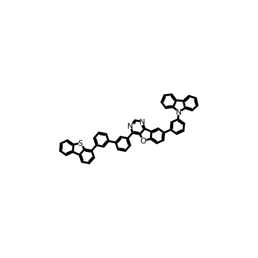 c1cc(-c2cccc(-c3cccc4c3sc3ccccc34)c2)cc(-c2ncnc3c2oc2ccc(-c4cccc(-n5c6ccccc6c6ccccc65)c4)cc23)c1